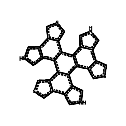 c1[nH]cc2c1c1cscc1c1c2c2c3cscc3c3c[nH]cc3c2c2c3cscc3c3c[nH]cc3c12